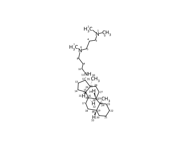 CN(C)CCCN(C)CCCN[C@H]1CC[C@H]2[C@@H]3CC[C@H]4CCCC[C@]4(C)[C@H]3CC[C@]12C